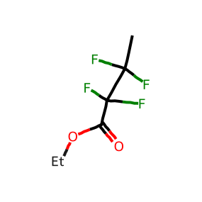 CCOC(=O)C(F)(F)C(C)(F)F